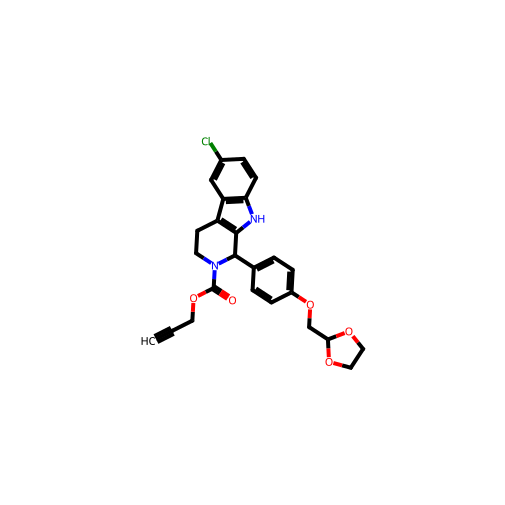 C#CCOC(=O)N1CCc2c([nH]c3ccc(Cl)cc23)C1c1ccc(OCC2OCCO2)cc1